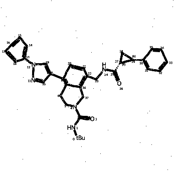 CC(C)(C)NC(=O)N1CCc2c(-c3cnn(-c4ccccc4)c3)ccc(CNC(=O)[C@@H]3C[C@H]3c3ccccc3)c2C1